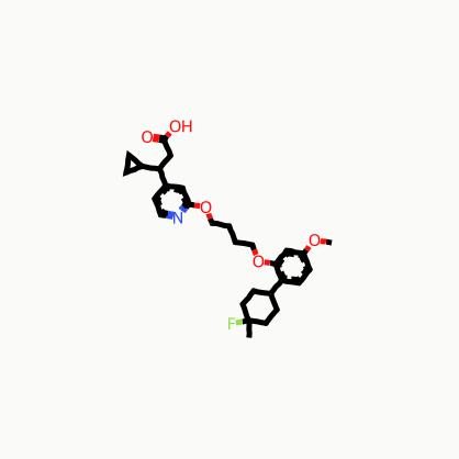 COc1ccc(C2CCC(C)(F)CC2)c(OCCCCOc2cc(C(CC(=O)O)C3CC3)ccn2)c1